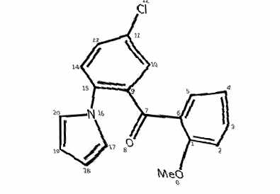 COc1ccccc1C(=O)c1cc(Cl)ccc1-n1cccc1